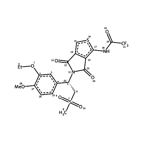 CCOc1cc([C@@H](CS(C)(=O)=O)N2C(=O)c3csc(NC(=O)C(F)(F)F)c3C2=O)ccc1OC